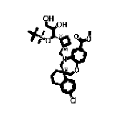 COC(=O)c1ccc2c(c1)N(C[C@@H]1CC[C@H]1C(O[Si](C)(C)C(C)(C)C)C(O)CO)C[C@@]1(CCCc3cc(Cl)ccc31)CO2